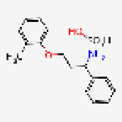 Cc1ccccc1OCCC(N)c1ccccc1.O=S(=O)(O)O